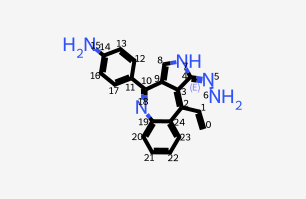 C=Cc1c2/c(=N\N)[nH]cc-2c(-c2ccc(N)cc2)nc2ccccc12